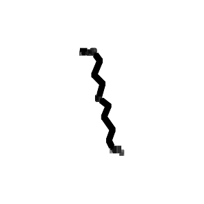 COCCCOCCCCN